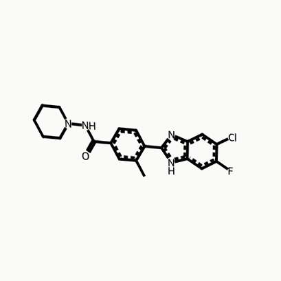 Cc1cc(C(=O)NN2CCCCC2)ccc1-c1nc2cc(Cl)c(F)cc2[nH]1